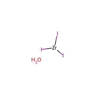 O.[I][Zr]([I])[I]